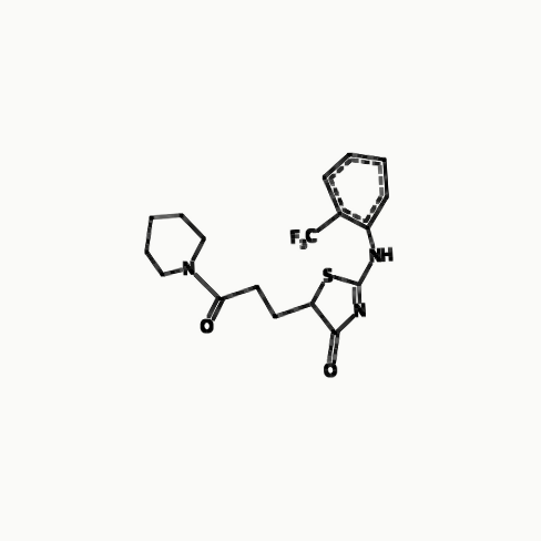 O=C1N=C(Nc2ccccc2C(F)(F)F)SC1CCC(=O)N1CCCCC1